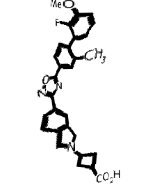 COc1cccc(-c2ccc(-c3nc(-c4ccc5c(c4)CN(C4CC(C(=O)O)C4)C5)no3)cc2C)c1F